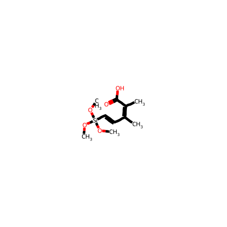 CO[Si](C=CC(C)=C(C)C(=O)O)(OC)OC